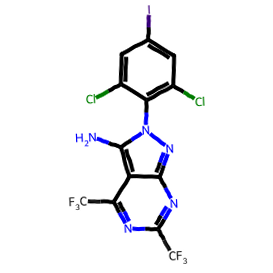 Nc1c2c(C(F)(F)F)nc(C(F)(F)F)nc2nn1-c1c(Cl)cc(I)cc1Cl